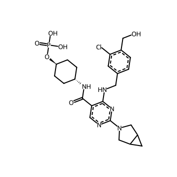 O=C(N[C@H]1CC[C@H](OP(=O)(O)O)CC1)c1cnc(N2CC3CC3C2)nc1NCc1ccc(CO)c(Cl)c1